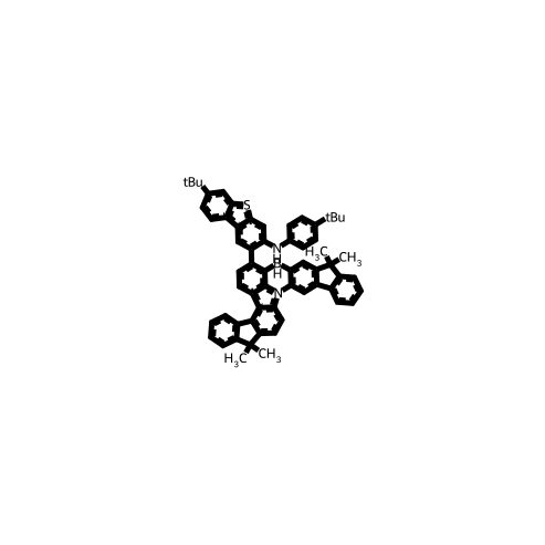 CC(C)(C)c1ccc(Nc2cc3sc4cc(C(C)(C)C)ccc4c3cc2-c2ccc3c4c5c(ccc4n4c3c2Bc2cc3c(cc2-4)-c2ccccc2C3(C)C)C(C)(C)c2ccccc2-5)cc1